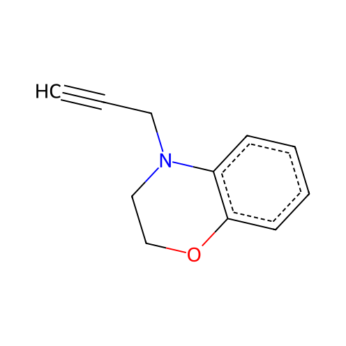 C#CCN1CCOc2ccccc21